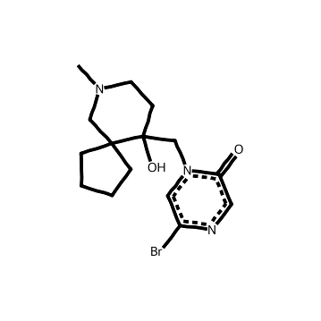 CN1CCC(O)(Cn2cc(Br)ncc2=O)C2(CCCC2)C1